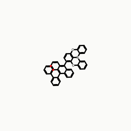 c1ccc(-c2ccccc2-c2c3ccccc3c(-c3ccc4c5c3Oc3ccccc3B5c3ccccc3O4)c3ccccc23)cc1